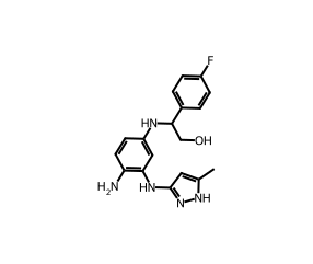 Cc1cc(Nc2cc(NC(CO)c3ccc(F)cc3)ccc2N)n[nH]1